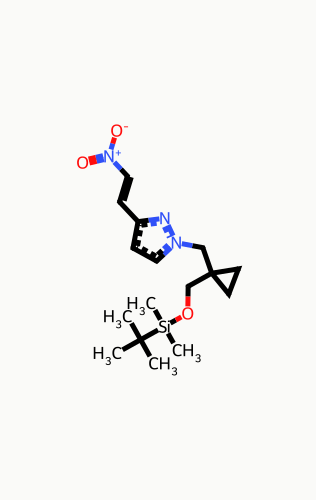 CC(C)(C)[Si](C)(C)OCC1(Cn2ccc(C=C[N+](=O)[O-])n2)CC1